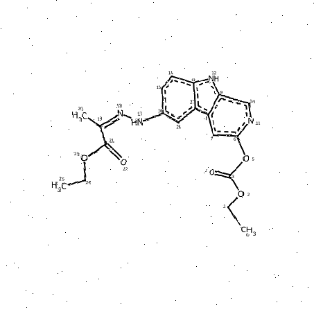 CCOC(=O)Oc1cc2c(cn1)[nH]c1ccc(NN=C(C)C(=O)OCC)cc12